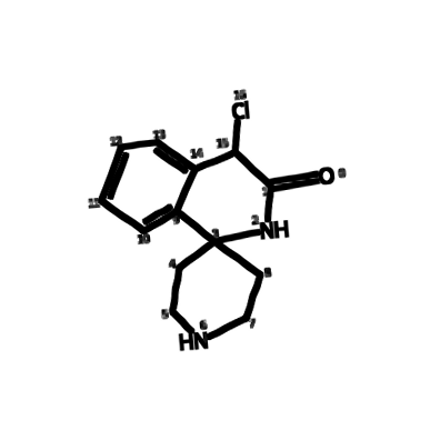 O=C1NC2(CCNCC2)c2ccccc2C1Cl